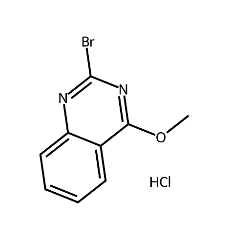 COc1nc(Br)nc2ccccc12.Cl